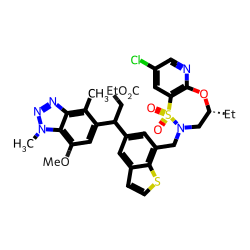 CCOC(=O)CC(c1cc(CN2C[C@@H](CC)Oc3ncc(Cl)cc3S2(=O)=O)c2sccc2c1)c1cc(OC)c2c(nnn2C)c1C